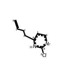 C=CCCc1ccnc(Cl)n1